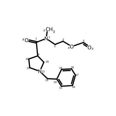 CN(CCOC=O)C(=O)C1CCN(Cc2ccccc2)C1